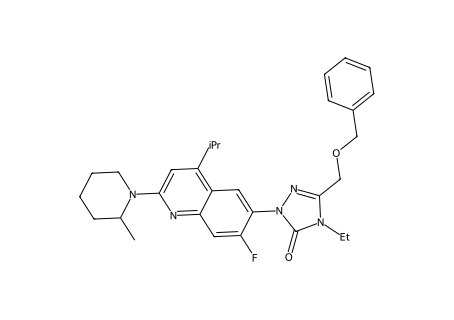 CCn1c(COCc2ccccc2)nn(-c2cc3c(C(C)C)cc(N4CCCCC4C)nc3cc2F)c1=O